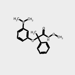 CONC(=O)C(C)(Oc1cccc(N(C)C)c1)c1ccccc1